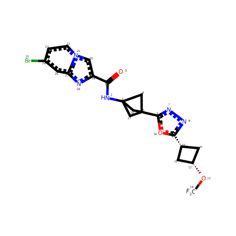 O=C(NC12CC(c3nnc([C@H]4C[C@@H](OC(F)(F)F)C4)o3)(C1)C2)c1cn2ccc(Br)cc2n1